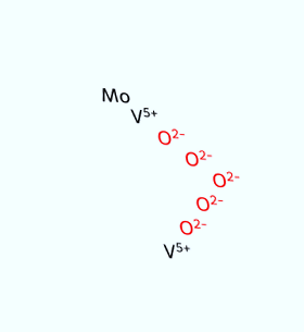 [Mo].[O-2].[O-2].[O-2].[O-2].[O-2].[V+5].[V+5]